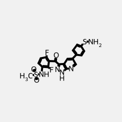 CS(=O)(=O)Nc1ccc(F)c(C(=O)c2n[nH]c3ncc(-c4ccc(SN)cc4)cc23)c1F